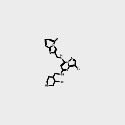 CCc1cnn2c(NCc3cn4c(C)cccc4n3)cc(NCC3CCNCC3O)nc12